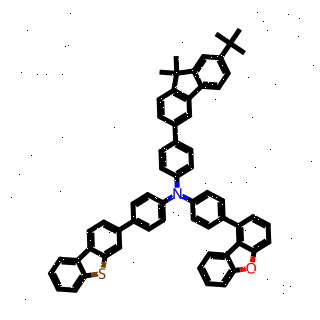 CC(C)(C)c1ccc2c(c1)C(C)(C)c1ccc(-c3ccc(N(c4ccc(-c5ccc6c(c5)sc5ccccc56)cc4)c4ccc(-c5cccc6oc7ccccc7c56)cc4)cc3)cc1-2